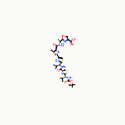 COC(=O)c1coc([C@H](C)NC(=O)c2nc(-c3csc([C@@H](NC(=O)c4csc([C@@H](NC(=O)OC(C)(C)C)C(C)C)n4)C(C)C)n3)oc2C)n1